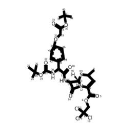 CC1C=C(C(=O)OCC(Cl)(Cl)Cl)N2C(=O)C(NC(=O)C(NC(=O)OC(C)(C)C)c3ccc(OCC(=O)OC(C)(C)C)cc3)[C@@H]2S1